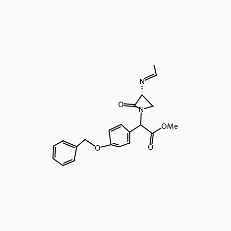 CC=N[C@@H]1CN(C(C(=O)OC)c2ccc(OCc3ccccc3)cc2)C1=O